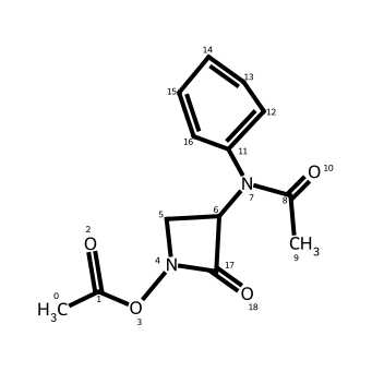 CC(=O)ON1CC(N(C(C)=O)c2ccccc2)C1=O